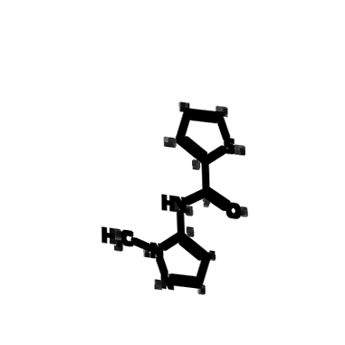 Cn1nccc1NC(=O)c1cccs1